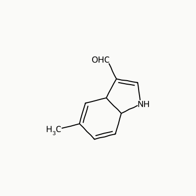 CC1=CC2C(C=O)=CNC2C=C1